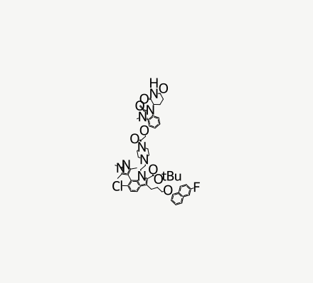 Cc1nn(C)c(C)c1-c1c(Cl)ccc2c(CCCOc3cccc4cc(F)ccc34)c(C(=O)OC(C)(C)C)n(CCN3CCN(C(=O)COc4cccc5c4n(C)c(=O)n5C4CCC(=O)NC4=O)CC3)c12